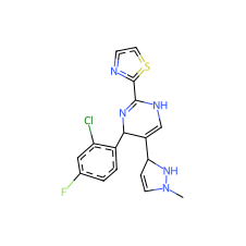 CN1C=CC(C2=CNC(c3nccs3)=NC2c2ccc(F)cc2Cl)N1